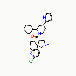 O=C([C@@H]1CNC[C@]12CCCc1nc(Cl)ccc12)N1CCC(c2ccccn2)CC1C1CCCCC1